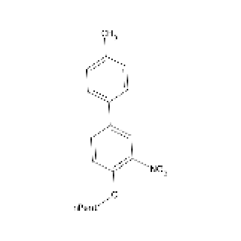 CCCCCOc1ccc(-c2ccc(C)cc2)cc1[N+](=O)[O-]